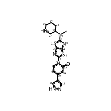 CN(c1nc2sc(-n3ccc(-c4cn[nH]c4)cc3=O)nc2s1)C1CCCNC1